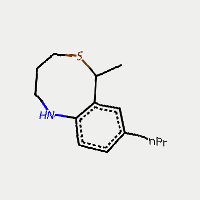 CCCc1ccc2c(c1)C(C)SCCCN2